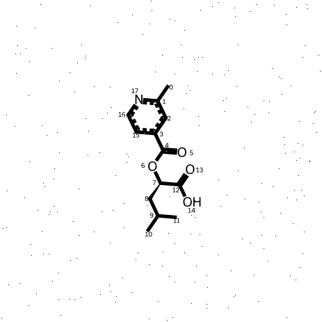 Cc1cc(C(=O)O[C@H](CC(C)C)C(=O)O)ccn1